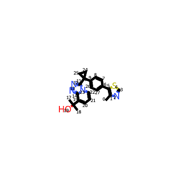 Cc1ncsc1-c1ccc(C2(c3nnc4c(C(C)(C)O)cccn34)CC2)cc1